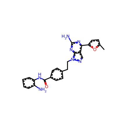 Cc1ccc(-c2nc(N)nc3c2cnn3CCc2ccc(C(=O)Nc3ccccc3N)cc2)o1